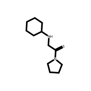 S=C(CNC1CCCCC1)N1CCCC1